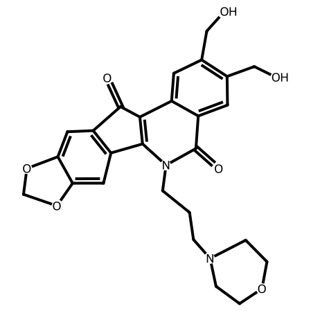 O=C1c2cc3c(cc2-c2c1c1cc(CO)c(CO)cc1c(=O)n2CCCN1CCOCC1)OCO3